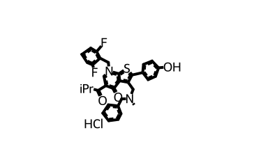 CC(C)C(=O)c1cn(Cc2c(F)cccc2F)c2sc(-c3ccc(O)cc3)c(CN(C)Cc3ccccc3)c2c1=O.Cl